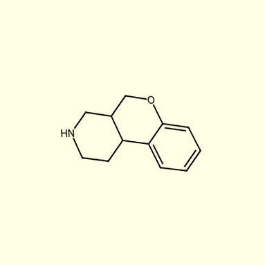 c1ccc2c(c1)OCC1CNCCC21